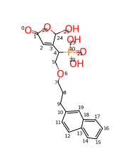 O=C1C=C(C(COCCCc2ccc3ccccc3c2)P(=O)(O)O)C(O)O1